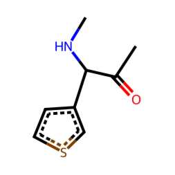 CNC(C(C)=O)c1ccsc1